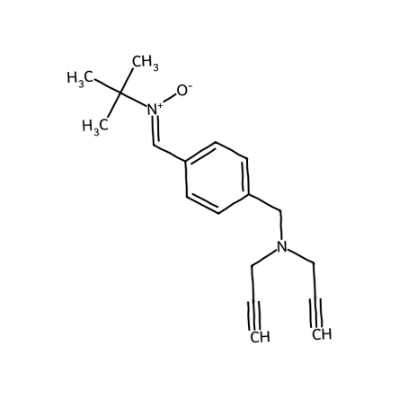 C#CCN(CC#C)Cc1ccc(/C=[N+](\[O-])C(C)(C)C)cc1